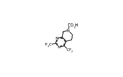 O=C(O)N1CCc2c(nc(C(F)(F)F)nc2C(F)(F)F)C1